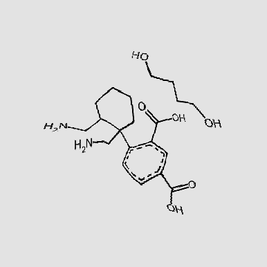 NCC1CCCCC1(CN)c1ccc(C(=O)O)cc1C(=O)O.OCCCCO